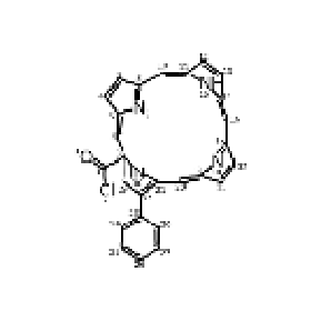 O=C(Cl)C12C=C3C=CC(=N3)C=c3ccc([nH]3)=CC3=NC(=CC(=C(c4ccccc4)C1)N2)C=C3